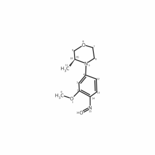 COc1cc(N2CCOC[C@@H]2C)ccc1N=O